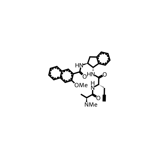 C#CC[C@H](NC(=O)[C@H](C)NC)C(=O)N[C@H]1c2ccccc2C[C@@H]1NC(=O)c1cc2ccccc2cc1OC